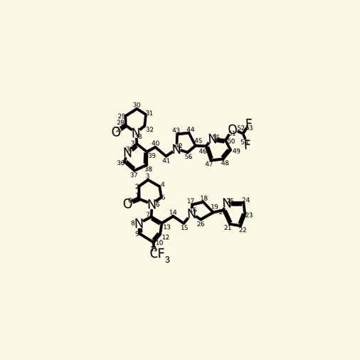 O=C1CCCCN1c1ncc(C(F)(F)F)cc1CCN1CCC(c2ccccn2)C1.O=C1CCCCN1c1ncccc1CCN1CCC(c2cccc(OC(F)F)n2)C1